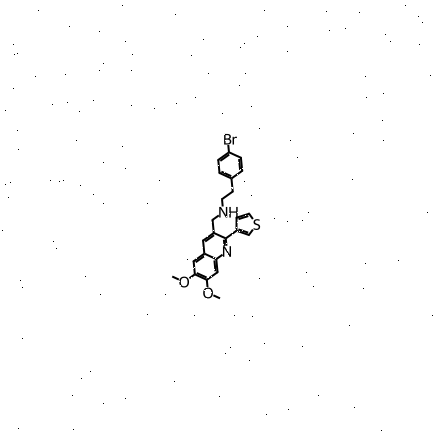 COc1cc2cc(CNCCc3ccc(Br)cc3)c(-c3ccsc3)nc2cc1OC